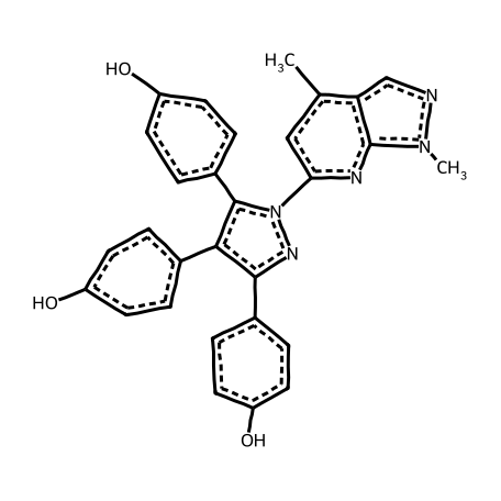 Cc1cc(-n2nc(-c3ccc(O)cc3)c(-c3ccc(O)cc3)c2-c2ccc(O)cc2)nc2c1cnn2C